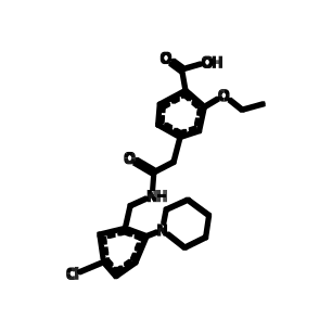 CCOc1cc(CC(=O)NCc2cc(Cl)ccc2N2CCCCC2)ccc1C(=O)O